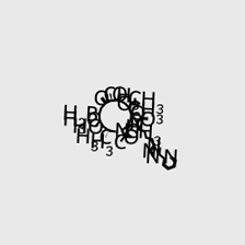 B[C@@H]1CC(=O)[C@@H](C)C(=O)O[C@H](CC)[C@@]2(C)OC(=O)N(CCCCn3cc(-c4ccccn4)nn3)[C@@H]2[C@@H](C)N(C(C)=O)C[C@H](C)C[C@]1(C)O